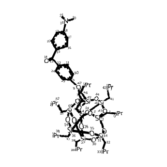 CC(C)C[Si]12O[Si]3(CCCOc4ccc(C(=O)c5ccc(N(C)C)cc5)cc4)O[Si]4(CC(C)C)O[Si](CC(C)C)(O1)O[Si]1(CC(C)C)O[Si](CC(C)C)(O2)O[Si](CC(C)C)(O3)O[Si](CC(C)C)(O4)O1